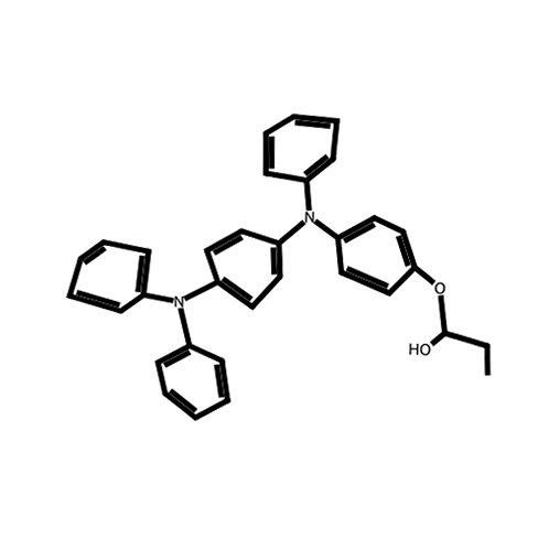 CCC(O)Oc1ccc(N(c2ccccc2)c2ccc(N(c3ccccc3)c3ccccc3)cc2)cc1